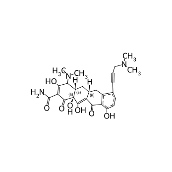 CN(C)CC#Cc1ccc(O)c2c1C[C@H]1C[C@H]3C(N(C)C)C(O)=C(C(N)=O)C(=O)[C@@]3(O)C(O)=C1C2=O